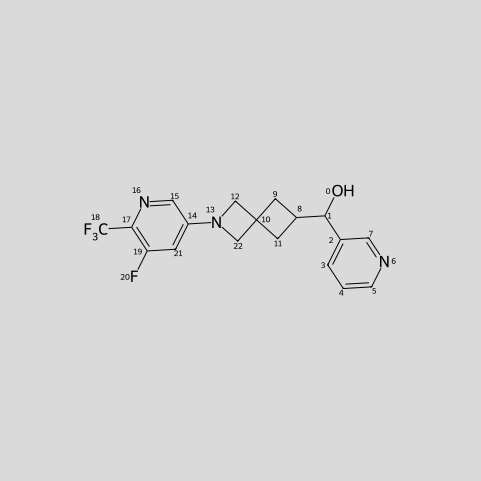 OC(c1cccnc1)C1CC2(C1)CN(c1cnc(C(F)(F)F)c(F)c1)C2